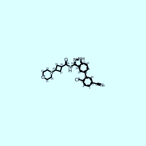 N#Cc1ccc(Cl)c(-c2ccc3[nH]nc(NC(=O)C4CC(N5CCOCC5)C4)c3c2)c1